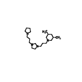 CC1CC(C)CN(CCCN2CCN(CCCN3CCCC3)C2)C1